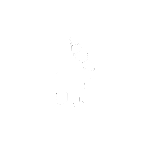 CN(C(=O)CCCOc1ccc2c(c1)CN1CC(=O)N=C1N2)C1CCCCC1.S